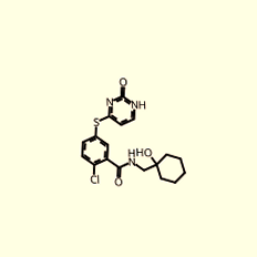 O=C(NCC1(O)CCCCC1)c1cc(Sc2cc[nH]c(=O)n2)ccc1Cl